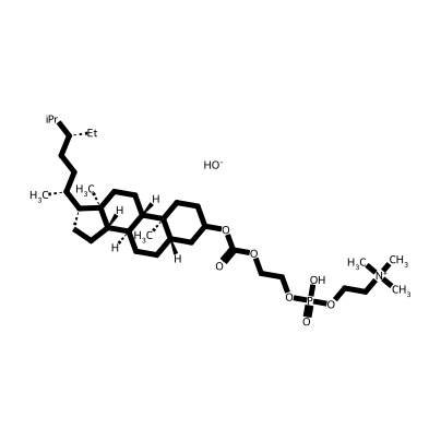 CC[C@H](CC[C@@H](C)[C@H]1CC[C@H]2[C@@H]3CC[C@H]4CC(OC(=O)OCCOP(=O)(O)OCC[N+](C)(C)C)CC[C@]4(C)[C@H]3CC[C@]12C)C(C)C.[OH-]